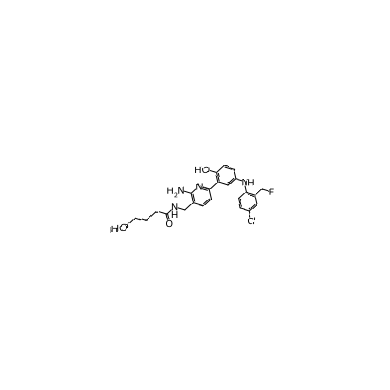 Nc1nc(-c2cc(Nc3ccc(Cl)cc3CF)ccc2O)ccc1CNC(=O)CCCO